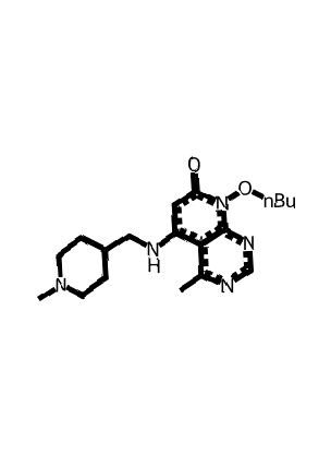 CCCCOn1c(=O)cc(NCC2CCN(C)CC2)c2c(C)ncnc21